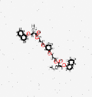 CC(=COc1cccc2ccccc12)C(=O)OCCCOc1cccc(OCCCOC(=O)C(C)=COc2cccc3ccccc23)c1